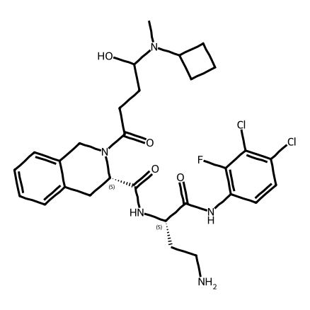 CN(C(O)CCC(=O)N1Cc2ccccc2C[C@H]1C(=O)N[C@@H](CCN)C(=O)Nc1ccc(Cl)c(Cl)c1F)C1CCC1